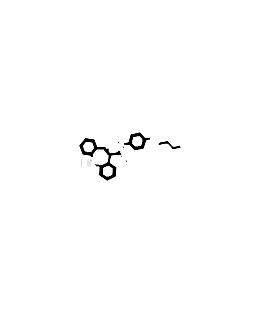 CCCCOc1ccc(NC(=N)C2=Cc3ccccc3Nc3ccccc32)cc1